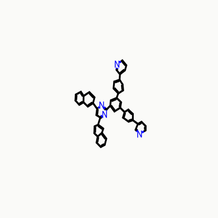 c1cncc(-c2ccc(-c3cc(-c4ccc(-c5cccnc5)cc4)cc(-c4nc(-c5ccc6ccccc6c5)cc(-c5ccc6ccccc6c5)n4)c3)cc2)c1